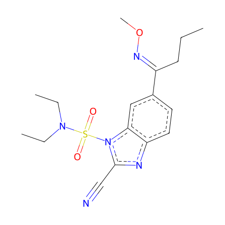 CCCC(=NOC)c1ccc2nc(C#N)n(S(=O)(=O)N(CC)CC)c2c1